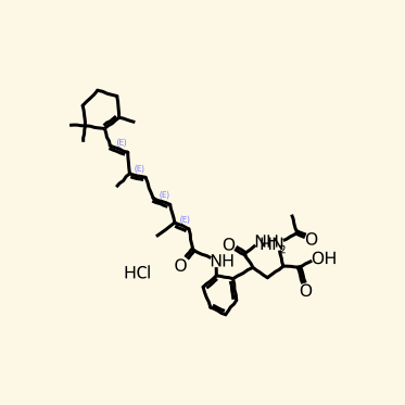 CC(=O)NC(CC(C(N)=O)c1ccccc1NC(=O)/C=C(C)/C=C/C=C(C)/C=C/C1=C(C)CCCC1(C)C)C(=O)O.Cl